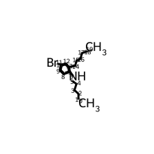 CCCCCCNc1ccc(Br)cc1CCCCCC